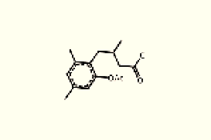 CC(=O)Oc1cc(C)cc(C)c1CC(C)CC(=O)Cl